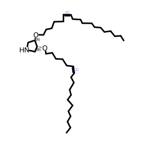 CCCCCCCCCCC/C=C\CCCCCO[C@@H]1CNC[C@H]1OCCCCC/C=C\CCCCCCCCCCC